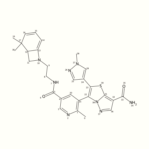 Cc1ncc(C(=O)NCCN2CC3C2=CC=CC3(C)C)cc1-c1c(-c2cnn(C)c2)sc2c(C(N)=O)cnn12